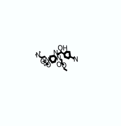 CCOC(=O)Cn1c(C(O)c2ccc(C#N)cc2)nc2cc(N(CCN(C)C)S(C)(=O)=O)ccc21